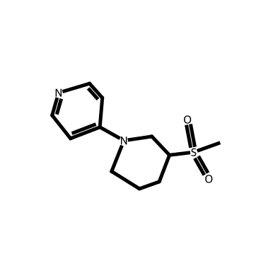 CS(=O)(=O)C1CCCN(c2ccncc2)C1